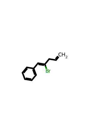 C=CCC(Br)=Cc1ccccc1